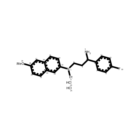 CCN(CCC(N)c1ccc(F)cc1)c1ccc2cc(OC)ccc2c1.Cl.Cl